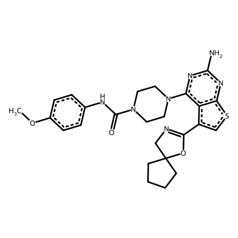 COc1ccc(NC(=O)N2CCN(c3nc(N)nc4scc(C5=NCC6(CCCC6)O5)c34)CC2)cc1